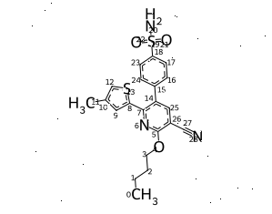 CCCCOc1nc(-c2cc(C)cs2)c(-c2ccc(S(N)(=O)=O)cc2)cc1C#N